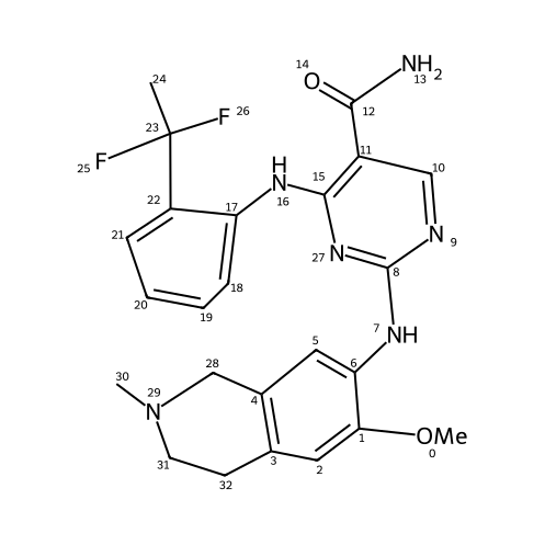 COc1cc2c(cc1Nc1ncc(C(N)=O)c(Nc3ccccc3C(C)(F)F)n1)CN(C)CC2